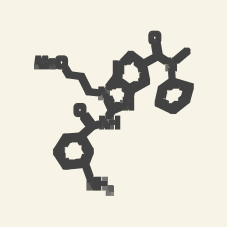 COCCCn1c(NC(=O)c2cccc(N)c2)nc2cc(C(=O)N(C)c3ccccc3)cnc21